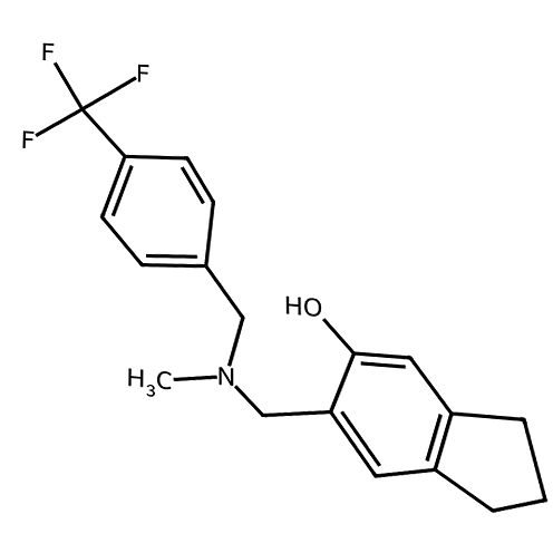 CN(Cc1ccc(C(F)(F)F)cc1)Cc1cc2c(cc1O)CCC2